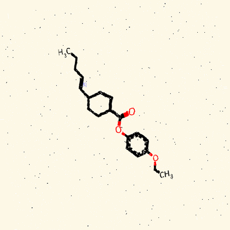 CCC/C=C/C1CCC(C(=O)Oc2ccc(OCC)cc2)CC1